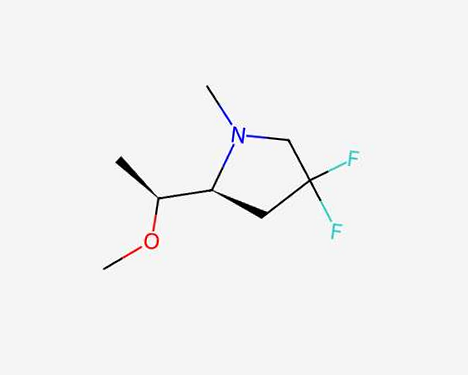 CO[C@@H](C)[C@@H]1CC(F)(F)CN1C